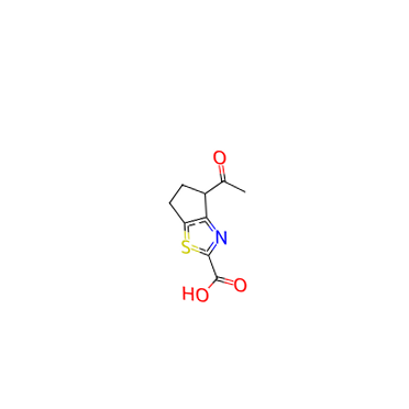 CC(=O)C1CCc2sc(C(=O)O)nc21